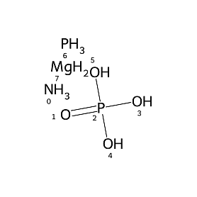 N.O=P(O)(O)O.P.[MgH2]